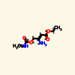 CCOC(=O)C=C(N)COC(=O)NC